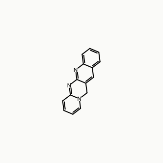 C1=CC2=Nc3nc4ccccc4cc3CN2C=C1